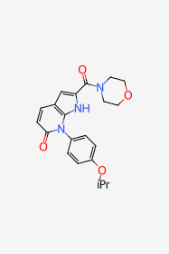 CC(C)Oc1ccc(-n2c(=O)ccc3cc(C(=O)N4CCOCC4)[nH]c32)cc1